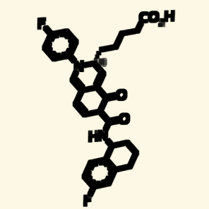 O=C(O)CCCC[C@@H]1C=C2C(=O)C(C(=O)NC3CCCc4cc(F)ccc43)C=CC2=CN1c1ccc(F)cc1